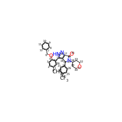 Cc1ccc(OCc2ccccc2)c(-c2[nH]nc3c2C(c2ccc(C(F)(F)F)cc2)N(C2CCOCC2)C3=O)c1